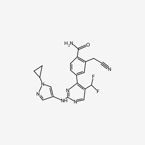 N#CCc1cc(-c2nc(Nc3cnn(C4CC4)c3)ncc2C(F)F)ccc1C(N)=O